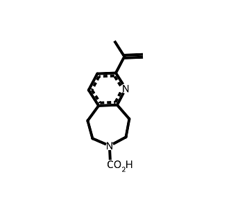 C=C(C)c1ccc2c(n1)CCN(C(=O)O)CC2